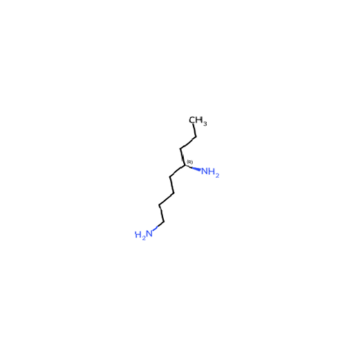 CCC[C@@H](N)CCCCN